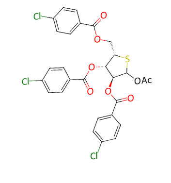 CC(=O)OC1S[C@@H](COC(=O)c2ccc(Cl)cc2)[C@@H](OC(=O)c2ccc(Cl)cc2)[C@@H]1OC(=O)c1ccc(Cl)cc1